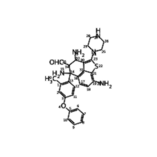 Cc1cc(Oc2ccccc2)ccc1C1(N)c2ccc(N)c3sc(N4CCNCC4)c(c23)C(N)C1C=O